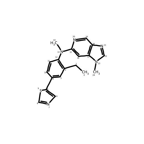 CCc1cc(-c2cncs2)ccc1N(C)c1cc2c(cn1)ncn2C